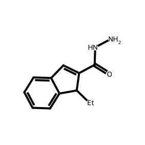 CCC1C(C(=O)NN)=Cc2ccccc21